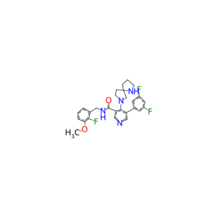 COc1cccc(CNC(=O)c2cncc(-c3cc(F)cc(F)c3)c2N2CCC3(CCCN3)C2)c1F